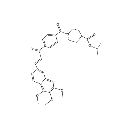 COc1cc2nc(C=CC(=O)c3ccc(C(=O)N4CCC(C(=O)OC(C)C)CC4)cc3)ccc2c(OC)c1OC